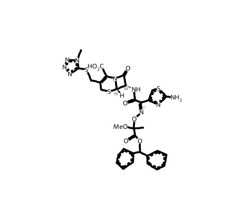 COC(C)(O/N=C(\C(=O)N[C@H]1C(=O)N2C(C(=O)O)=C(CSc3nnnn3C)CS[C@@H]12)c1csc(N)n1)C(=O)OC(c1ccccc1)c1ccccc1